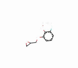 O=COc1c(F)cccc1OCC1CO1